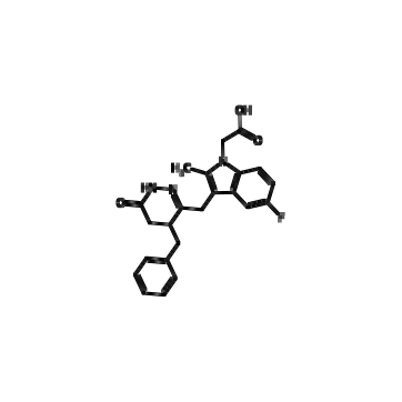 Cc1c(CC2=NNC(=O)CC2Cc2ccccc2)c2cc(F)ccc2n1CC(=O)O